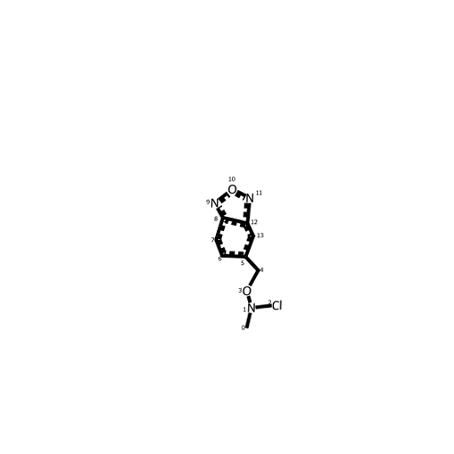 CN(Cl)OCc1ccc2nonc2c1